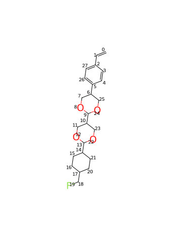 C=Cc1ccc(C2COC(C3COC(C4CCC(CF)CC4)OC3)OC2)cc1